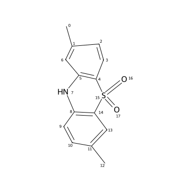 Cc1ccc2c(c1)Nc1ccc(C)cc1S2(=O)=O